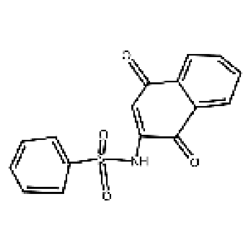 O=C1C=C(NS(=O)(=O)c2ccccc2)C(=O)c2ccccc21